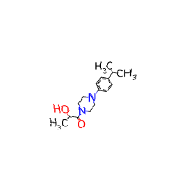 CC(C)c1ccc(N2CCN(C(=O)[C@@H](C)O)CC2)cc1